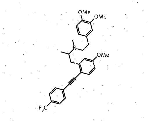 COc1ccc(C#Cc2ccc(C(F)(F)F)cc2)c(CC(C)N(C)CCc2ccc(OC)c(OC)c2)c1